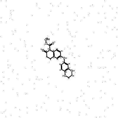 CC(C)(C)OC(=O)N1C(=O)CCc2cc(Oc3ccc4c(c3)OCCO4)ccc21